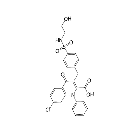 O=C(O)c1c(Cc2ccc(S(=O)(=O)NCCO)cc2)c(=O)c2ccc(Cl)cc2n1-c1ccccc1